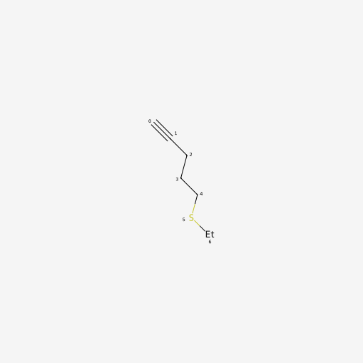 C#CCCCSC[CH2]